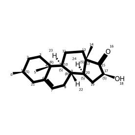 C[C@H]1CC[C@@]2(C)C(=CC[C@@H]3[C@@H]2CC[C@]2(C)C(=O)[C@@H](O)C[C@@H]32)C1